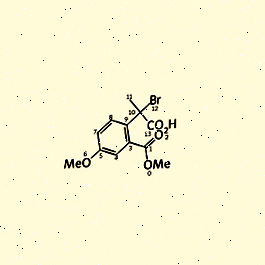 COC(=O)c1cc(OC)ccc1C(C)(Br)C(=O)O